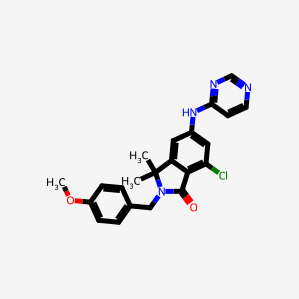 COc1ccc(CN2C(=O)c3c(Cl)cc(Nc4ccncn4)cc3C2(C)C)cc1